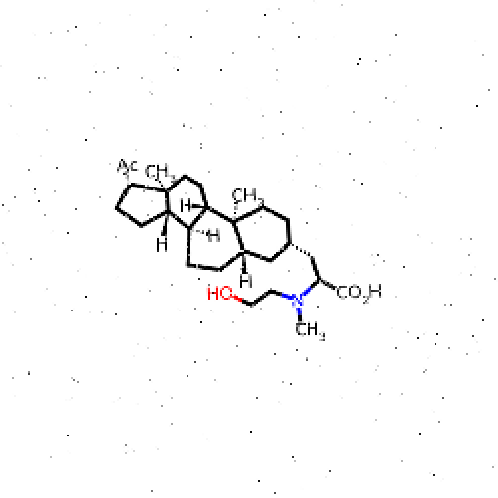 CC(=O)[C@H]1CC[C@H]2[C@@H]3CC[C@H]4C[C@@H](CC(C(=O)O)N(C)CCO)CC[C@]4(C)[C@H]3CC[C@]12C